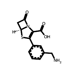 NCc1cccc(C2=C(C(=O)O)N3C(=O)C[C@@H]3S2)c1